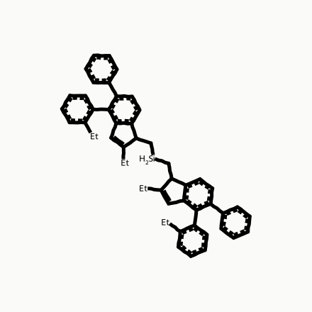 CCC1=Cc2c(ccc(-c3ccccc3)c2-c2ccccc2CC)C1C[SiH2]CC1C(CC)=Cc2c1ccc(-c1ccccc1)c2-c1ccccc1CC